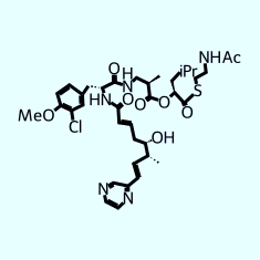 COc1ccc(C[C@@H](NC(=O)/C=C/C[C@H](O)[C@H](C)/C=C/c2cnccn2)C(=O)NC[C@@H](C)C(=O)O[C@@H](CC(C)C)C(=O)SCCNC(C)=O)cc1Cl